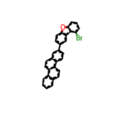 Brc1cccc2oc3ccc(-c4ccc5c(ccc6c7ccccc7ccc56)c4)cc3c12